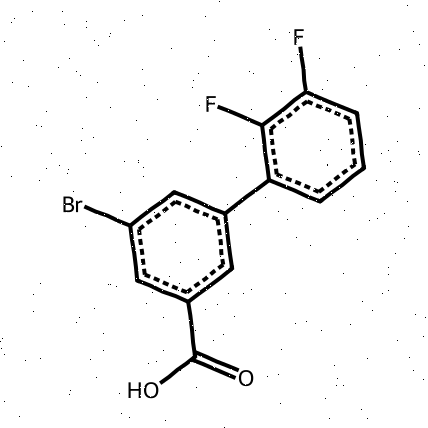 O=C(O)c1cc(Br)cc(-c2cccc(F)c2F)c1